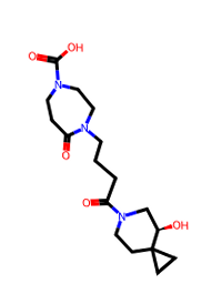 O=C(O)N1CCC(=O)N(CCCC(=O)N2CCC3(CC3)[C@H](O)C2)CC1